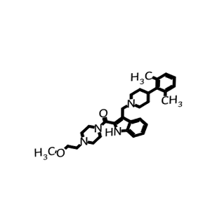 COCCN1CCN(C(=O)c2[nH]c3ccccc3c2CN2CCC(c3c(C)cccc3C)CC2)CC1